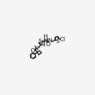 CN(Cc1csc(NC(=O)NCc2ccc(Cl)s2)n1)C(=O)C1(c2ccccc2)CCC1